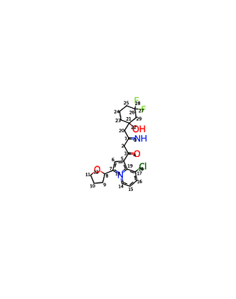 N=C(CC(=O)c1cc(C2CCCO2)n2cccc(Cl)c12)CC1(O)CCCC(F)(F)C1